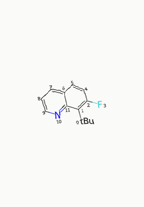 CC(C)(C)c1c(F)ccc2cccnc12